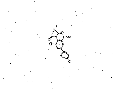 COc1cc(-c2ccc(Cl)cc2)cc(Cl)c1C1C(=O)C[C@@H](C)C1=O